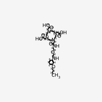 CCCCOc1cccc(NCCOCCNC(=O)CN2CCN(CC(=O)O)CCN(CC(=O)O)CCN(CC(=O)O)CC2)c1